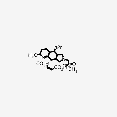 CCCC1C2CCC(C)N=C2CC2CN(CS(C)(=O)=O)CC21.O=C(O)/C=C\C(=O)O